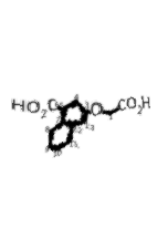 O=C(O)COc1cc(C(=O)O)c2ccccc2c1